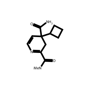 CNC(=O)C1=NC=CC(C(N)=O)(C2CCC2)C1